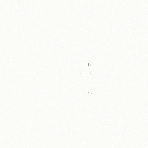 CS.CSCCC(N)C(=O)O.Cl